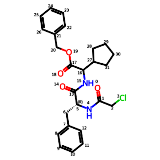 O=C(CCl)N[C@H](Cc1ccccc1)C(=O)NC(C(=O)OCc1ccccc1)C1CCCC1